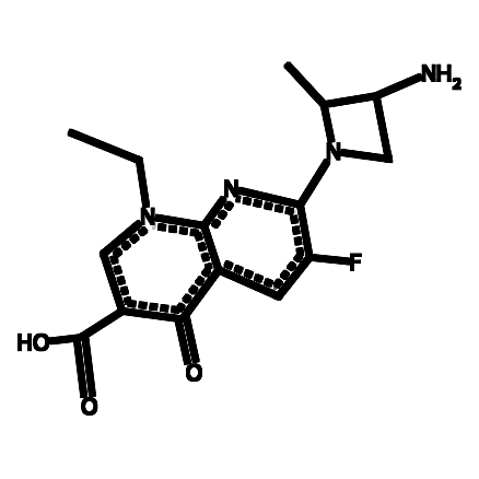 CCn1cc(C(=O)O)c(=O)c2cc(F)c(N3CC(N)C3C)nc21